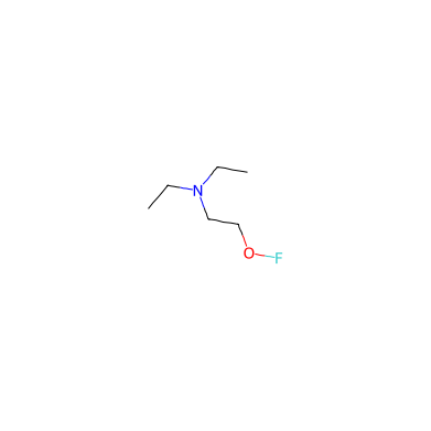 CCN(CC)CCOF